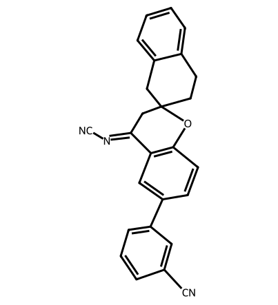 N#C/N=C1\CC2(CCc3ccccc3C2)Oc2ccc(-c3cccc(C#N)c3)cc21